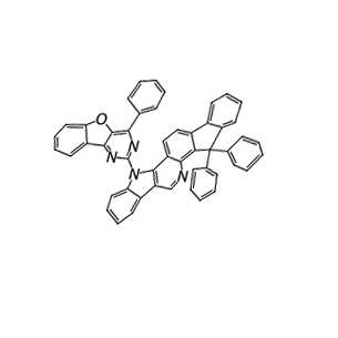 c1ccc(-c2nc(-n3c4ccccc4c4cnc5c6c(ccc5c43)-c3ccccc3C6(c3ccccc3)c3ccccc3)nc3c2oc2ccccc23)cc1